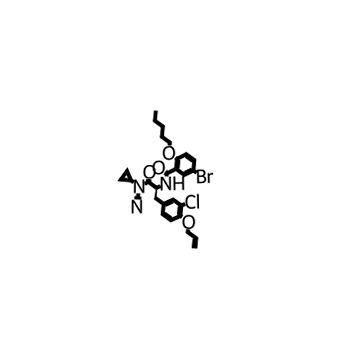 C=CCOc1ccc(C[C@H](NC(=O)c2cc(Br)ccc2OCCCCC)C(=O)N(C#N)C2CC2)cc1Cl